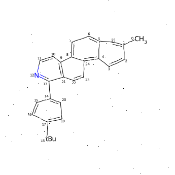 Cc1ccc2c(ccc3c4ccnc(-c5ccc(C(C)(C)C)cc5)c4ccc23)c1